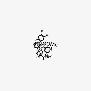 C=C(Nc1cnc(OC)c(S(=O)(=O)Nc2cc(F)c(F)cc2C)c1)c1ncc(-c2ccccc2)o1